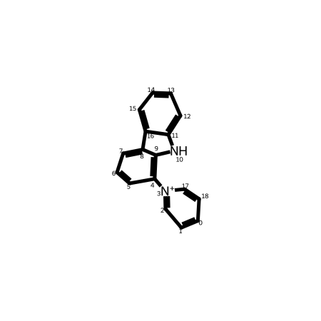 c1cc[n+](-c2cccc3c2[nH]c2ccccc23)cc1